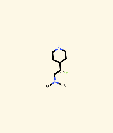 CN(C)C[C@@H](F)C1CCNCC1